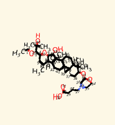 CCO[C@@H](C1C[C@@H](C)[C@H]2C(O1)[C@H](O)[C@@]1(C)C3CC[C@H]4C(C)(C)C(O[C@H]5CN(CCCC(=O)O)CCO5)CC[C@@]45C[C@@]35CC[C@]21C)C(C)(C)O